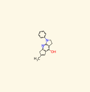 CC1=Cc2c(nc3c(c2O)CCN3c2ccccc2)C1